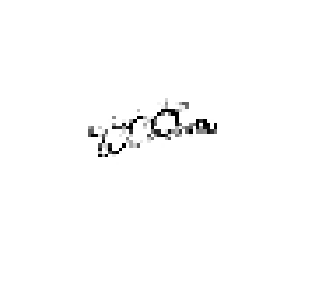 CC1CN(Cc2ccc(C(C)(C)C)cc2)CCO1